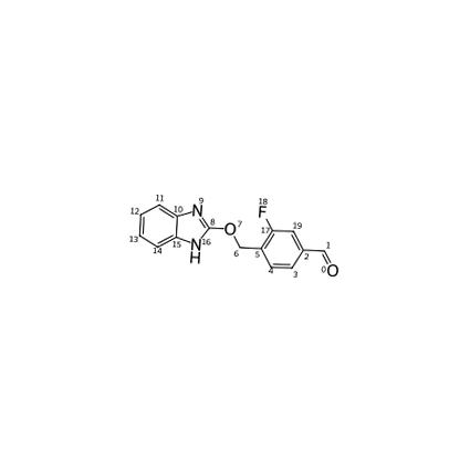 O=Cc1ccc(COc2nc3ccccc3[nH]2)c(F)c1